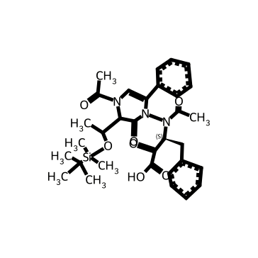 CC(=O)N1C=C(c2ccccc2)N(N(C(C)=O)[C@@H](Cc2ccccc2)C(=O)C(=O)O)C(=O)C1C(C)O[Si](C)(C)C(C)(C)C